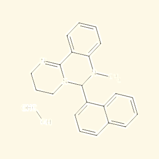 CN1c2ccccc2C2=NCCCN2C1c1cccc2ccccc12.O=CO